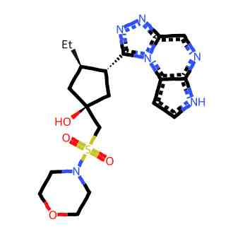 CC[C@@H]1C[C@@](O)(CS(=O)(=O)N2CCOCC2)C[C@H]1c1nnc2cnc3[nH]ccc3n12